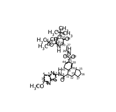 COc1ccc2nc(NC(=O)C(CC3CCCC3)C3C=CC(S(=O)(=O)NCC[C@H](NC(=O)OC(C)(C)C)C(=O)OC(C)(C)C)=CC3)sc2n1